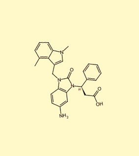 Cc1cccc2c1c(Cn1c(=O)n([C@H](CC(=O)O)c3ccccc3)c3cc(N)ccc31)cn2C